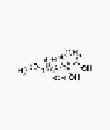 COC[C@@H](O)[C@@H](O)[C@H](OC)[C@@H](O)CO